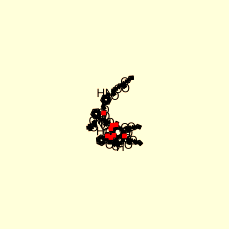 C=CCOC(=O)COCC(=O)Nc1ccc(COC(=O)O[C@@H](C(=O)O[C@H]2C[C@@]3(O)[C@@H](OC(=O)c4ccccc4)[C@@H]4[C@]5(OC(C)=O)CO[C@@H]5C[C@H](OC(=O)OCC=C)[C@@]4(C)C(=O)[C@H](OC(=O)OCC=C)C(=C2C)C3(C)C)[C@@H](NC(=O)OC(C)(C)C)c2ccccc2)cc1